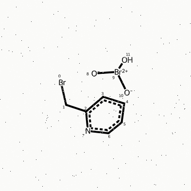 BrCc1ccccn1.[O-][Br+2]([O-])O